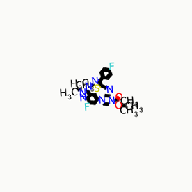 CC(C)n1nc2c(F)cc(N3CCN(C(=O)OC(C)(C)C)CC3)cc2c1N(C)c1nc(-c2ccc(F)cc2)c(C#N)s1